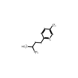 NC(CCc1ccc(C(F)(F)F)cn1)C(=O)O